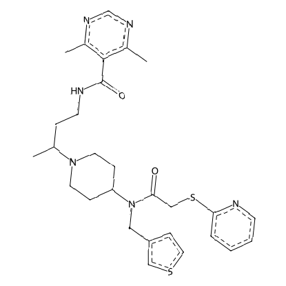 Cc1ncnc(C)c1C(=O)NCCC(C)N1CCC(N(Cc2ccsc2)C(=O)CSc2ccccn2)CC1